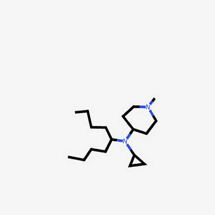 CCCCC(CCCC)N(C1CC1)C1CCN(C)CC1